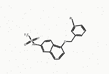 O=S(=O)(Nc1ccc2c(OCc3cccc(Br)c3)cccc2c1)C(F)(F)F